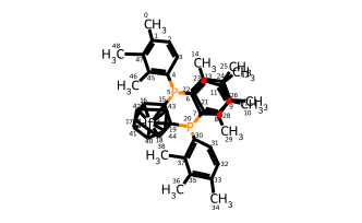 Cc1ccc(P(c2ccc(C)c(C)c2C)[C]23[CH]4[CH]5[CH]6[C]2(P(c2ccc(C)c(C)c2C)c2ccc(C)c(C)c2C)[Hf]54632789[CH]3[CH]2[CH]7[CH]8[CH]39)c(C)c1C